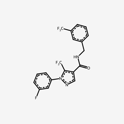 O=C(NCc1cccc(C(F)(F)F)c1)c1cnn(-c2cccc(F)c2)c1C(F)(F)F